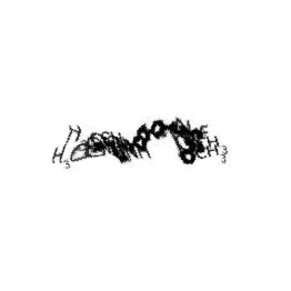 COC(=O)N[C@H](C(=O)N1CCC[C@H]1c1ncc(-c2ccc3cc(-c4ccc(-c5cnc([C@@H]6C[C@@H](F)CN6C(=O)[C@@H](c6ccccc6)N(C)C)[nH]5)cc4)ccc3c2)[nH]1)C(C)C